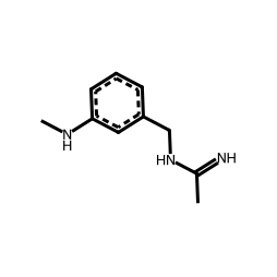 CNc1cccc(CNC(C)=N)c1